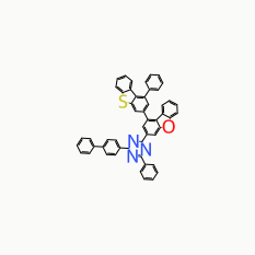 c1ccc(-c2ccc(-c3nc(-c4ccccc4)nc(-c4cc(-c5cc(-c6ccccc6)c6c(c5)sc5ccccc56)c5c(c4)oc4ccccc45)n3)cc2)cc1